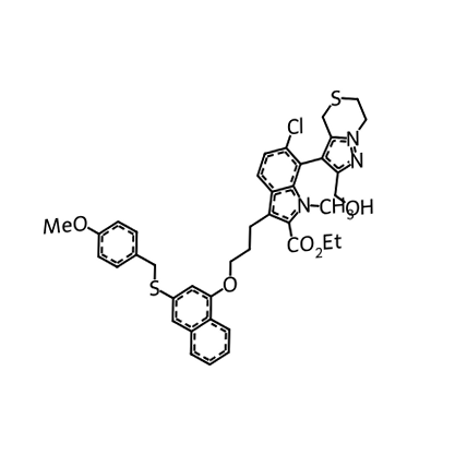 CCOC(=O)c1c(CCCOc2cc(SCc3ccc(OC)cc3)cc3ccccc23)c2ccc(Cl)c(-c3c(CO)nn4c3CSCC4)c2n1C